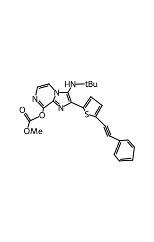 COC(=O)Oc1nccn2c(NC(C)(C)C)c(-c3ccc(C#Cc4ccccc4)s3)nc12